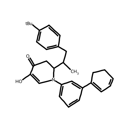 CC(Cc1ccc(C(C)(C)C)cc1)C1CC(=O)C(O)=CN1c1cccc(C2=CC=CCC2)c1